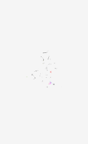 CCC(O)(c1cccc(F)c1)C(CC1OCCc2c1sc1ccccc21)CN(C)C